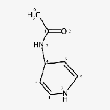 CC(=O)NC1C=CNC=C1